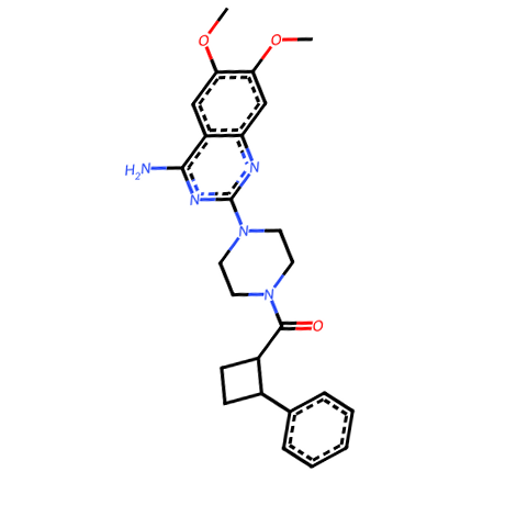 COc1cc2nc(N3CCN(C(=O)C4CCC4c4ccccc4)CC3)nc(N)c2cc1OC